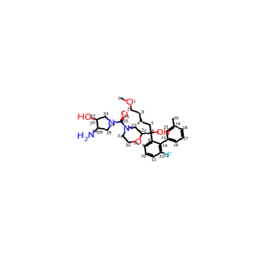 COCCCCC(O)(c1cccc(F)c1-c1cccc(C)c1)C1CN(C(=O)N2CC(N)C(O)C2)CCO1